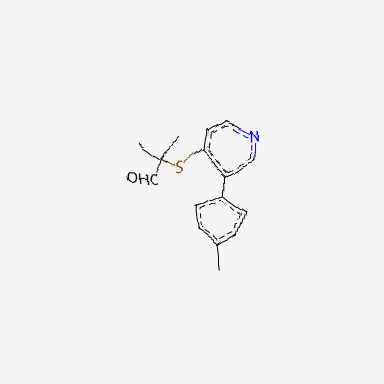 Cc1ccc(-c2cnccc2SC(C)(C)C=O)cc1